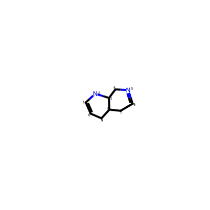 C1=C[N]C2CN=CCC2C1